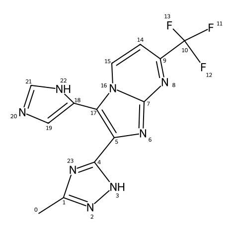 Cc1n[nH]c(-c2nc3nc(C(F)(F)F)ccn3c2-c2cnc[nH]2)n1